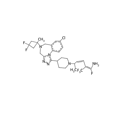 CC(/C=C\C(=C(/N)F)C(F)(F)F)N1CCC(c2nnc3n2-c2ccc(Cl)cc2CN(C2(C)CC(F)(F)C2)C3)CC1